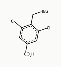 CC(C)(C)Cc1c(Cl)cc(C(=O)O)cc1Cl